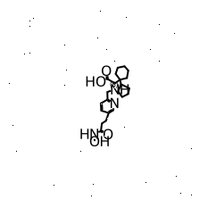 O=C(CCc1ccc(CN[C@H](C(=O)O)C2(C3CCCC3)CCCCC2)nc1)NO